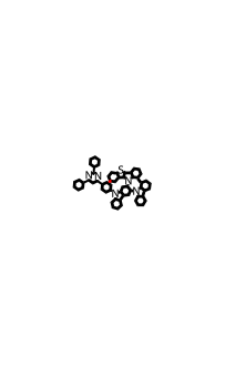 c1ccc(-c2cc(-c3ccc(-n4c5ccccc5c5cc6c(cc54)n4c5c(cccc5c5sc7ccccc7c54)c4cccc5c7ccccc7n6c54)cc3)nc(-c3ccccc3)n2)cc1